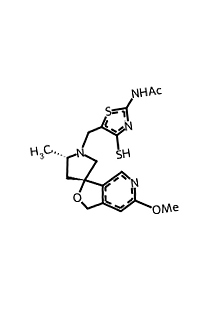 COc1cc2c(cn1)[C@]1(C[C@H](C)N(Cc3sc(NC(C)=O)nc3S)C1)OC2